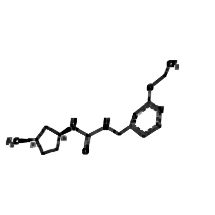 O=C(NCc1ccnc(OCC(F)(F)F)c1)N[C@H]1CC[C@@H](C(F)(F)F)C1